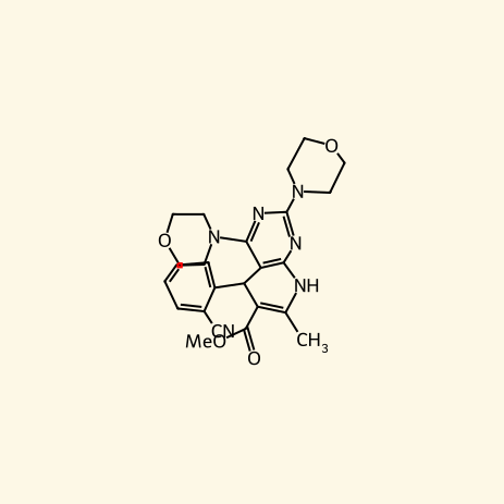 COC(=O)C1=C(C)Nc2nc(N3CCOCC3)nc(N3CCOCC3)c2C1c1ccccc1C#N